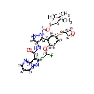 C[Si](C)(C)CCOCn1ncc(NC(=O)c2cnn3cccnc23)c1-c1cc(SC2COC2)ccc1OC(F)F